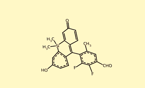 Cc1cc(C=O)c(F)c(F)c1C1=C2C=CC(=O)C=C2[Si](C)(C)c2cc(O)ccc21